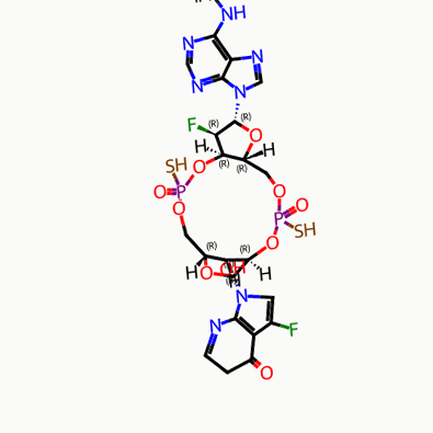 CC(C)Nc1ncnc2c1ncn2[C@@H]1O[C@@H]2COP(=O)(S)O[C@@H]3[C@H](O)[C@@H](COP(=O)(S)O[C@H]2[C@H]1F)O[C@H]3n1cc(F)c2c1N=CCC2=O